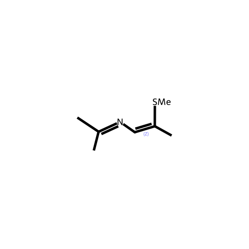 CS/C(C)=C\N=C(C)C